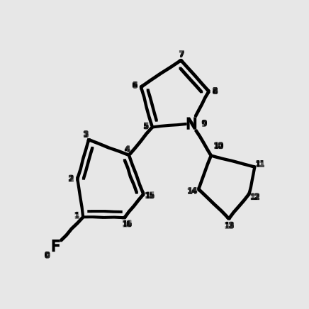 Fc1ccc(-c2cccn2C2CCCC2)cc1